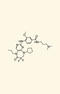 CCCN1C(=O)C(F)(F)CN(C2CCCC2)c2nc(Nc3ccc(C(=O)NCCCN(C)C)cc3OC)ncc21